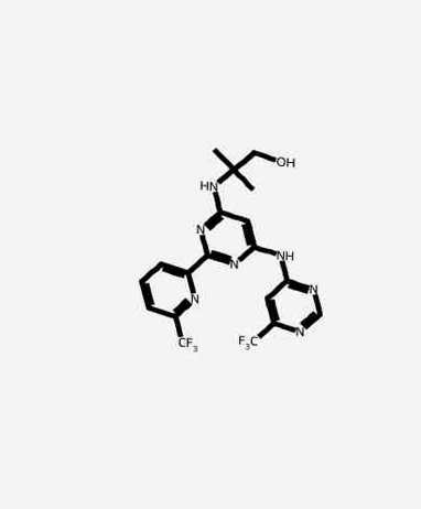 CC(C)(CO)Nc1cc(Nc2cc(C(F)(F)F)ncn2)nc(-c2cccc(C(F)(F)F)n2)n1